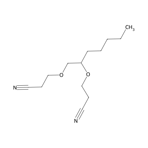 CCCCCC(COCCC#N)OCCC#N